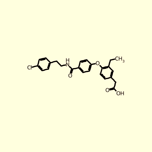 CCc1cc(CC(=O)O)ccc1Oc1ccc(C(=O)NCCc2ccc(Cl)cc2)cc1